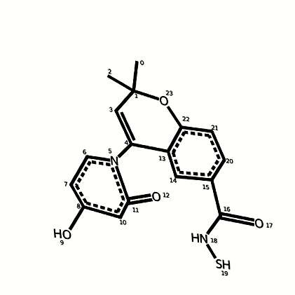 CC1(C)C=C(n2ccc(O)cc2=O)c2cc(C(=O)NS)ccc2O1